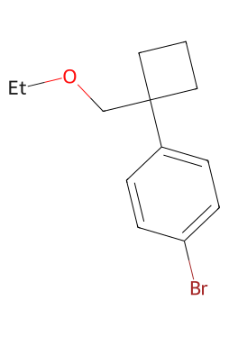 CCOCC1(c2ccc(Br)cc2)CCC1